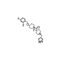 O=C(N1CCC(OCc2ccc(F)cc2F)CC1)C1(F)CCN(Cc2ccnnc2)CC1